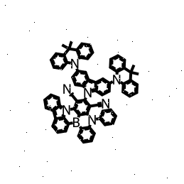 CC1(C)c2ccccc2N(c2ccc3c(c2)c2cc(N4c5ccccc5C(C)(C)c5ccccc54)ccc2n3-c2c(C#N)c3c4c(c2C#N)-n2c5ccccc5c5cccc(c52)B4c2ccccc2N3c2ccccc2)c2ccccc21